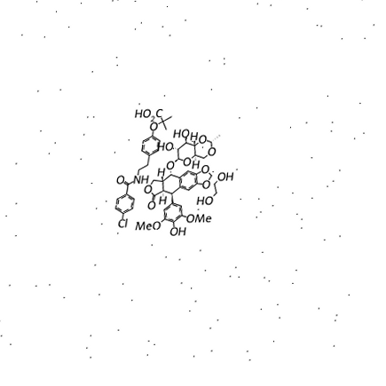 CC(C)(Oc1ccc(CCNC(=O)c2ccc(Cl)cc2)cc1)C(=O)O.COc1cc([C@@H]2c3cc4c(cc3[C@@H](O[C@@H]3O[C@@H]5CO[C@@H](C)O[C@H]5[C@H](O)[C@H]3O)[C@H]3COC(=O)[C@H]23)OCO4)cc(OC)c1O.OCCO